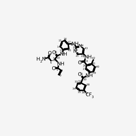 C=CC(=O)N[C@H](CC(N)=O)C(=O)Nc1cccc(Nc2ncc(NC(=O)c3cc(NC(=O)c4cccc(C(F)(F)F)c4)ccc3C)cn2)c1